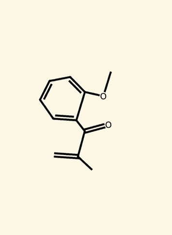 C=C(C)C(=O)c1ccccc1OC